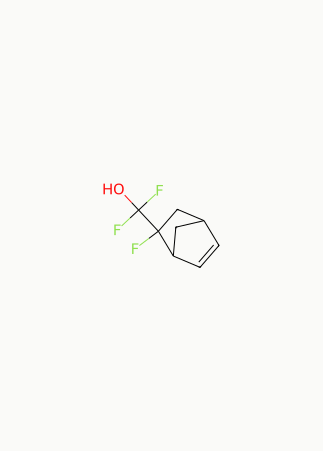 OC(F)(F)C1(F)CC2C=CC1C2